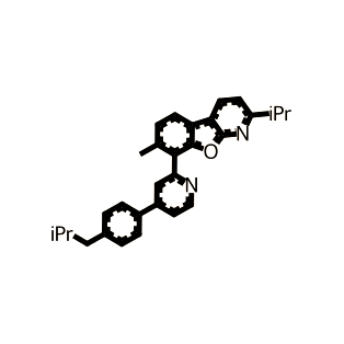 Cc1ccc2c(oc3nc(C(C)C)ccc32)c1-c1cc(-c2ccc(CC(C)C)cc2)ccn1